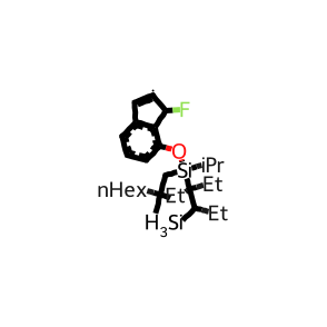 CCCCCCC(C)(C)C[Si](Oc1cccc2c1C(F)[C]=C2)(C(C)C)C(CC)(CC)C([SiH3])CC